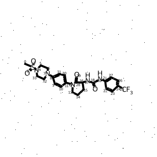 CS(=O)(=O)N1CCN(c2ccc(N3CCCC(NC(=O)Nc4ccc(C(F)(F)F)cc4)C3=O)cc2)CC1